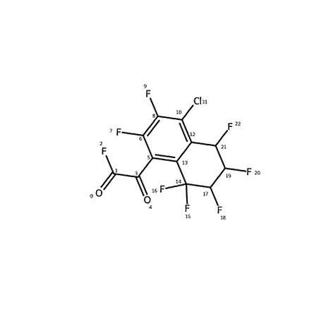 O=C(F)C(=O)c1c(F)c(F)c(Cl)c2c1C(F)(F)C(F)C(F)C2F